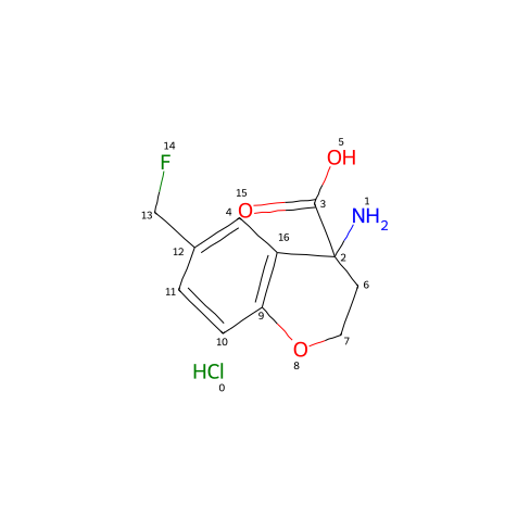 Cl.NC1(C(=O)O)CCOc2ccc(CF)cc21